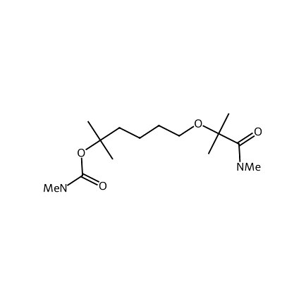 CNC(=O)OC(C)(C)CCCCOC(C)(C)C(=O)NC